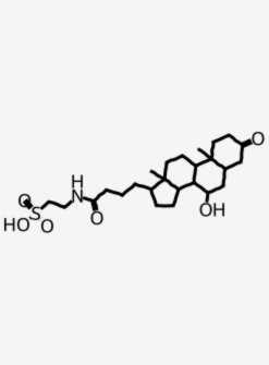 CC12CCC3C(C(O)CC4CC(=O)CCC43C)C1CCC2CCCC(=O)NCCS(=O)(=O)O